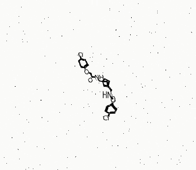 O=C(COC1=CC=C(Cl)CC1)NCC12CCC(CNOc3ccc(Cl)cc3)(C1)C2